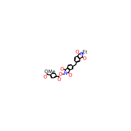 CCN1C(=O)c2ccc(Cc3ccc4c(c3)C(=O)N(COC(=O)c3ccc(C(=O)OC)cc3)C4=O)cc2C1=O